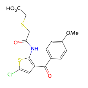 COc1ccc(C(=O)c2cc(Cl)sc2NC(=O)CSCC(=O)O)cc1